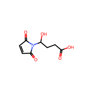 O=C(O)CCC(O)N1C(=O)C=CC1=O